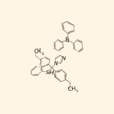 CCc1ccc(C([SiH2]c2ccccc2)(c2ccc(CC)cc2)n2ccnc2)cc1.c1ccc(B(c2ccccc2)c2ccccc2)cc1